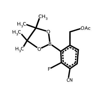 CC(=O)OCc1ccc(C#N)c(F)c1B1OC(C)(C)C(C)(C)O1